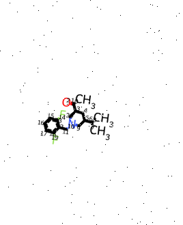 CC(=O)C1CC(C(C)C)CN(Cc2c(F)cccc2F)C1